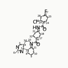 Cc1ncc2c(n1)-c1ccccc1N(C(=O)c1ccc(NC(=O)c3ccc(F)cc3Cl)cc1)CC2